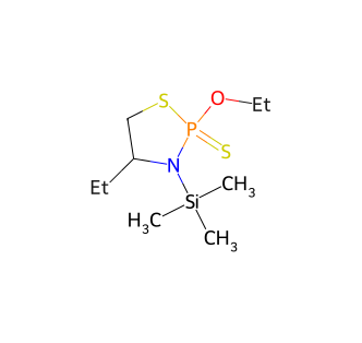 CCOP1(=S)SCC(CC)N1[Si](C)(C)C